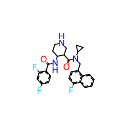 O=C(NC1CCNCC1C(=O)N(Cc1ccc(F)c2ccccc12)C1CC1)c1ccc(F)cc1F